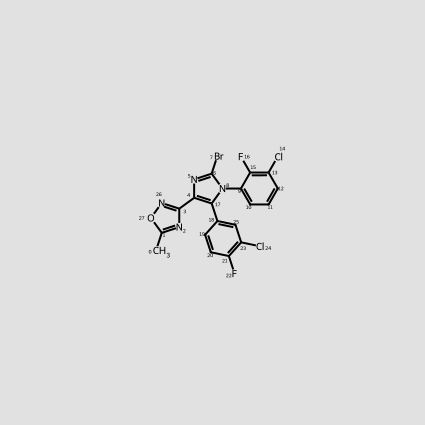 Cc1nc(-c2nc(Br)n(-c3cccc(Cl)c3F)c2-c2ccc(F)c(Cl)c2)no1